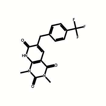 Cn1c(=O)c2cc(Cc3ccc(C(F)(F)F)cc3)c(=O)[nH]c2n(C)c1=O